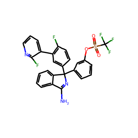 NC1=NC(c2cccc(OS(=O)(=O)C(F)(F)F)c2)(c2ccc(F)c(-c3cccnc3F)c2)c2ccccc21